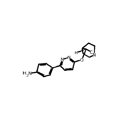 Nc1ccc(-c2ccc(O[C@H]3CN4CCC3CC4)nn2)cc1